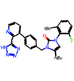 CCCCc1cn(-c2c(F)cccc2C(C)(C)C)c(=O)n1Cc1ccc(-c2cccnc2-c2nnn[nH]2)cc1